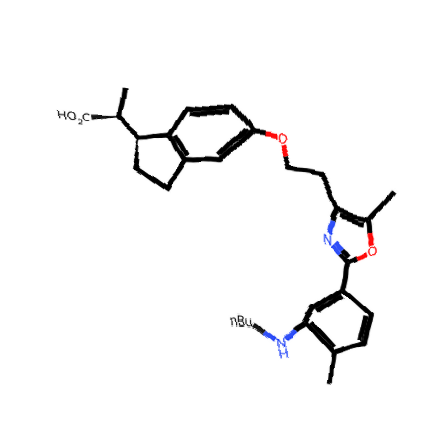 CCCCNc1cc(-c2nc(CCOc3ccc4c(c3)CC[C@H]4[C@H](C)C(=O)O)c(C)o2)ccc1C